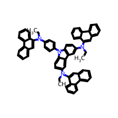 CCN(c1ccc(-n2c3ccc(N(CC)c4cc5ccccc5c5ccccc45)cc3c3cc(N(CC)c4cc5ccccc5c5ccccc45)ccc32)cc1)c1cc2ccccc2c2ccccc12